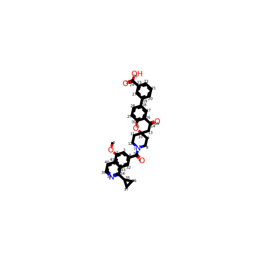 COc1cc(C(=O)N2CCC3(CC2)CC(=O)c2cc(-c4cccc(C(=O)O)c4)ccc2O3)cc2c(C3CC3)nccc12